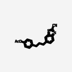 CC(=O)Oc1ccc(CCCc2ccc3nc(C#N)sc3c2)cc1